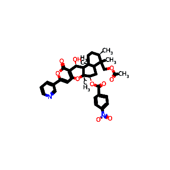 CC(=O)OCC1(C)C2C[C@H](OC(=O)c3ccc([N+](=O)[O-])cc3)[C@@]3(C)Oc4cc(-c5cccnc5)oc(=O)c4[C@H](O)C3[C@@]2(C)CC[C@@H]1C